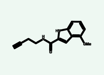 C#CCCNC(=O)c1cc2c(OC)cccc2[nH]1